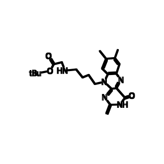 C=c1nc2c(c(=O)[nH]1)=Nc1cc(C)c(C)cc1N2CCCCNCC(=O)OC(C)(C)C